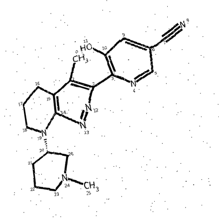 Cc1c(-c2ncc(C#N)cc2O)nnc2c1CCCN2[C@H]1CCCN(C)C1